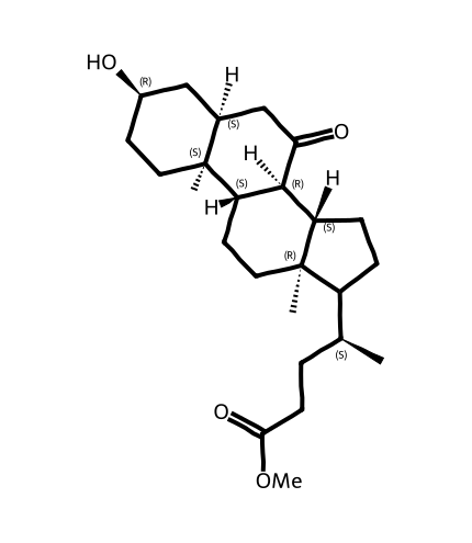 COC(=O)CC[C@H](C)C1CC[C@H]2[C@@H]3C(=O)C[C@@H]4C[C@H](O)CC[C@]4(C)[C@H]3CC[C@]12C